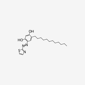 CCCCCCCCCCCCc1cc(/N=N/c2nccs2)c(O)cc1O